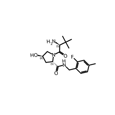 Cc1ccc(CNC(=O)[C@@H]2C[C@@H](O)CN2C(=O)[C@@H](N)C(C)(C)C)c(F)c1